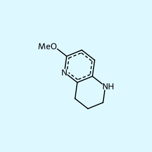 COc1ccc2c(n1)CCCN2